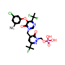 CC(C)(F)c1cc(Cn2cnc(C(C)(F)F)c(Oc3cc(Cl)cc(C#N)c3)c2=O)c(=O)n(COP(=O)(O)O)n1